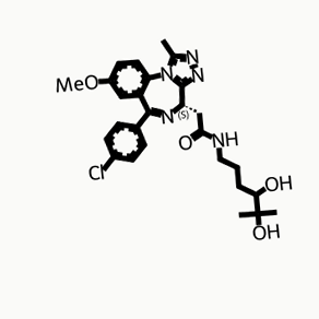 COc1ccc2c(c1)C(c1ccc(Cl)cc1)=N[C@@H](CC(=O)NCCCC(O)C(C)(C)O)c1nnc(C)n1-2